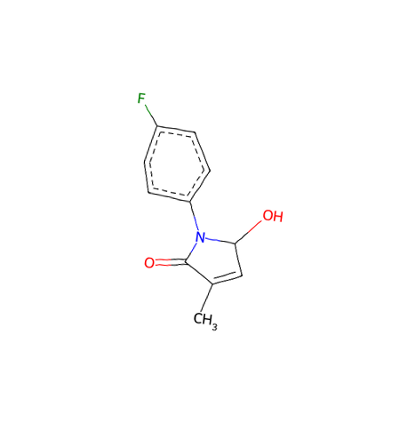 CC1=CC(O)N(c2ccc(F)cc2)C1=O